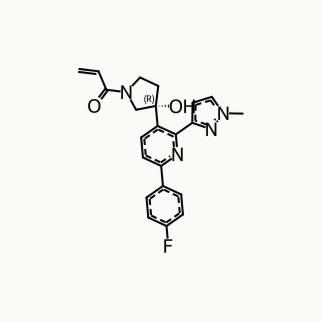 C=CC(=O)N1CC[C@@](O)(c2ccc(-c3ccc(F)cc3)nc2-c2ccn(C)n2)C1